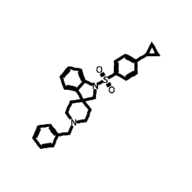 O=S(=O)(c1ccc(C2CC2)cc1)N1CC2(CCN(Cc3ccccc3)CC2)c2ccccc21